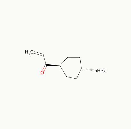 C=CC(=O)[C@H]1CC[C@H](CCCCCC)CC1